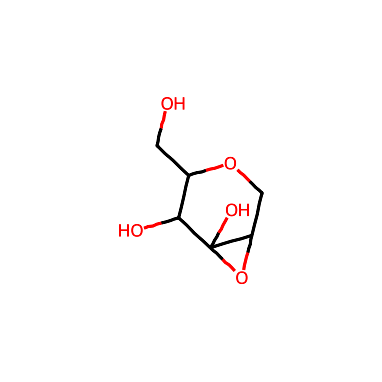 OCC1OCC2OC2(O)C1O